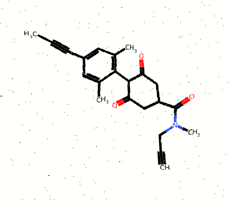 C#CCN(C)C(=O)C1CC(=O)C(c2c(C)cc(C#CC)cc2C)C(=O)C1